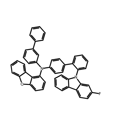 Fc1ccc2c3ccccc3n(-c3ccccc3-c3ccc(N(c4cccc(-c5ccccc5)c4)c4cccc5oc6ccccc6c45)cc3)c2c1